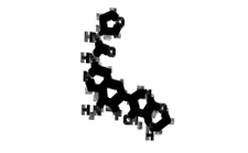 Cc1c(-c2cc3cc(NC(=O)N[C@@H]4CCOC4)ncc3c(N)c2F)cnc2c1NCCO2